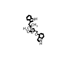 CC(C)(Cc1c[nH]c2ccccc12)N1C[C@@H](COc2cccc3[nH]ccc23)OC1=O